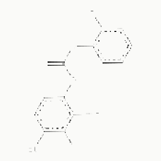 CCc1ccccc1OC(=O)Oc1ccc(CC)c(CC)c1CC